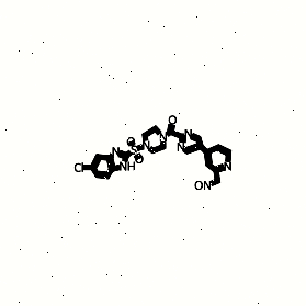 O=NCc1cc(-c2cnc(C(=O)N3CCN(S(=O)(=O)c4nc5cc(Cl)ccc5[nH]4)CC3)nc2)ccn1